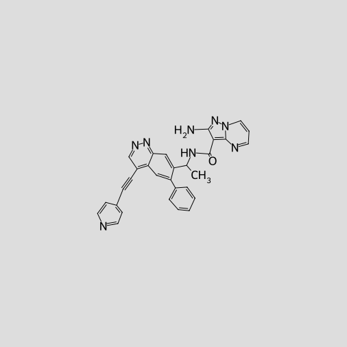 CC(NC(=O)c1c(N)nn2cccnc12)c1cc2nncc(C#Cc3ccncc3)c2cc1-c1ccccc1